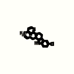 C=CCCC1c2[nH]c3ccc(Cl)cc3c2CCN1c1nccc(C(F)(F)F)n1